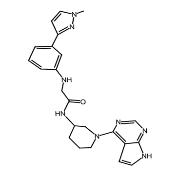 Cn1ccc(-c2cccc(NCC(=O)NC3CCCN(c4ncnc5[nH]ccc45)C3)c2)n1